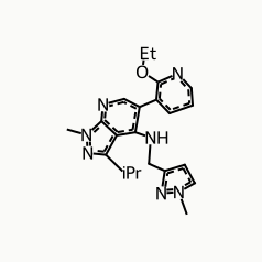 CCOc1ncccc1-c1cnc2c(c(C(C)C)nn2C)c1NCc1ccn(C)n1